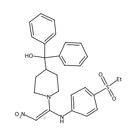 CCS(=O)(=O)c1ccc(N/C(=C/[N+](=O)[O-])N2CCC(C(O)(c3ccccc3)c3ccccc3)CC2)cc1